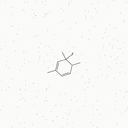 CC1=CC(C)(F)C(C)C=C1